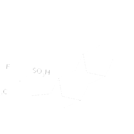 O=S(=O)(O)C(F)(CC1CC2CC1C1C3CCC(C3)C21)C(F)(F)F